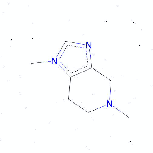 CN1CCc2c(ncn2C)C1